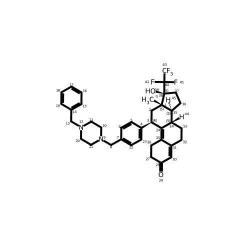 C[C@]12C[C@H](c3ccc(CN4CCN(Cc5ccccc5)CC4)cc3)C3=C4CCC(=O)C=C4CC[C@H]3[C@@H]1CC[C@@]2(O)C(F)(F)C(F)(F)F